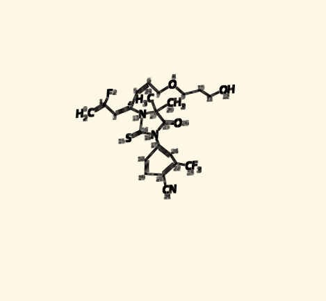 C=C(F)/C=C(\C=C/COCCCO)N1C(=S)N(c2ccc(C#N)c(C(F)(F)F)c2)C(=O)C1(C)C